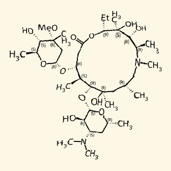 CC[C@H]1OC(=O)C[C@@H](O[C@H]2C[C@@](C)(OC)[C@@H](O)[C@H](C)O2)[C@H](C)[C@@H](O[C@@H]2O[C@H](C)C[C@H](N(C)C)[C@H]2O)[C@](C)(O)C[C@@H](C)CN(C)[C@H](C)[C@@H](O)[C@]1(C)O